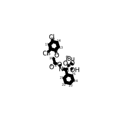 CCC(C)OP(=O)(O)C(=NOC(=O)COc1ccc(Cl)cc1Cl)c1ccccc1